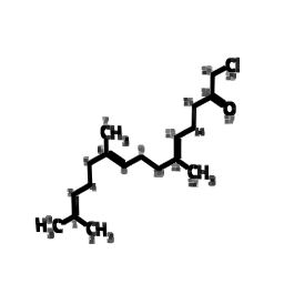 CC(C)=CCCC(C)=CCCC(C)=CCCC(=O)CCl